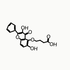 O=C(O)CCCOc1c(O)ccc2oc(-c3ccccc3)c(O)c(=O)c12